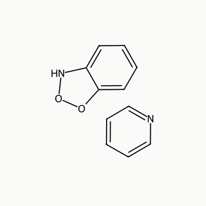 c1ccc2c(c1)NOO2.c1ccncc1